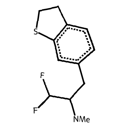 CNC(Cc1ccc2c(c1)SCC2)C(F)F